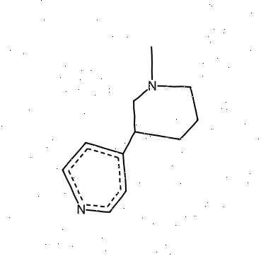 CN1CCCC(c2ccncc2)C1